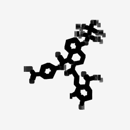 CC(=O)c1ccc(Cl)c(F)c1C=CC(=O)N1CCc2c(O[Si](C)(C)C(C)(C)C)cccc2C1C(=O)Nc1ccc(C(=O)O)cc1